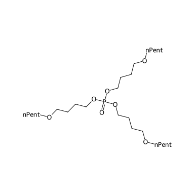 CCCCCOCCCCOP(=O)(OCCCCOCCCCC)OCCCCOCCCCC